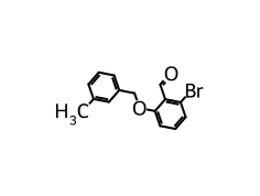 Cc1cccc(COc2cccc(Br)c2C=O)c1